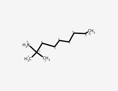 BC(C)(C)CCCCCCC